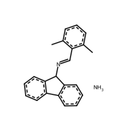 Cc1cccc(C)c1C=NC1c2ccccc2-c2ccccc21.N